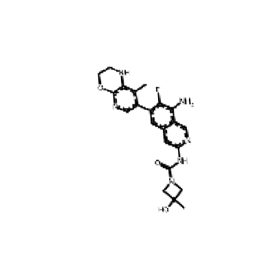 Cc1c(-c2cc3cc(NC(=O)N4CC(C)(O)C4)ncc3c(N)c2F)cnc2c1NCCO2